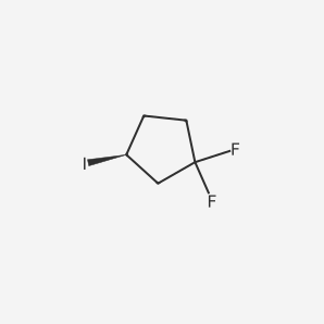 FC1(F)CC[C@H](I)C1